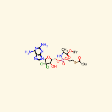 CC(C)OC(=O)[C@H](C)N[P@@](=O)(OCCSC(=O)C(C)(C)C)OC[C@H]1O[C@@H](n2cnc3c(N)nc(N)nc32)C(Cl)(Cl)[C@@H]1O